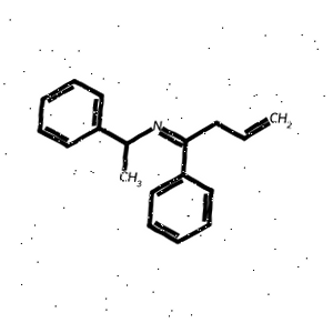 C=CCC(=NC(C)c1ccccc1)c1ccccc1